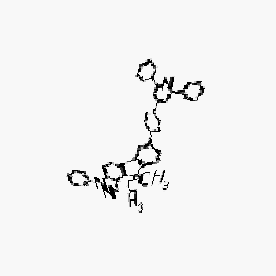 CC1(C)c2ccc(-c3ccc(-c4cc(-c5ccccc5)nc(-c5ccccc5)c4)cc3)cc2-c2ccc3c(cnn3-c3ccccc3)c21